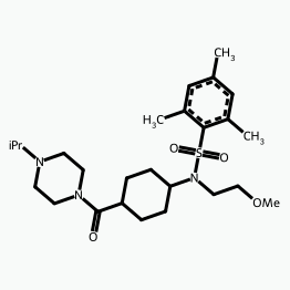 COCCN(C1CCC(C(=O)N2CCN(C(C)C)CC2)CC1)S(=O)(=O)c1c(C)cc(C)cc1C